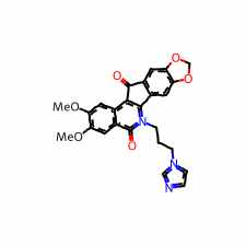 COc1cc2c3c(n(CCCn4ccnc4)c(=O)c2cc1OC)-c1cc2c(cc1C3=O)OCO2